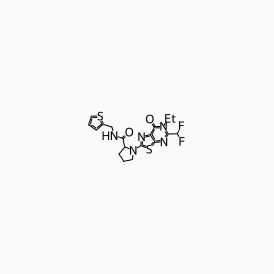 CCn1c(C(F)F)nc2sc(N3CCCC3C(=O)NCc3cccs3)nc2c1=O